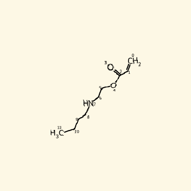 C=CC(=O)OCCNCCCC